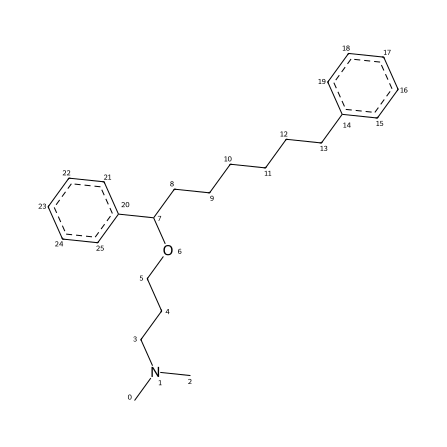 CN(C)CCCOC(CCCCCCc1ccccc1)c1ccccc1